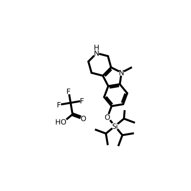 CC(C)[Si](Oc1ccc2c(c1)c1c(n2C)CNCC1)(C(C)C)C(C)C.O=C(O)C(F)(F)F